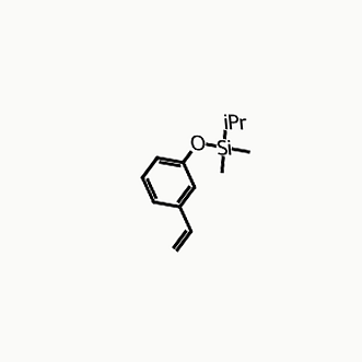 C=Cc1cccc(O[Si](C)(C)C(C)C)c1